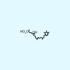 CC1=CC=C(CCC(C)CC/C=C(\C)CCCC(C)(O)CCCC(C)C(=O)O)C(C)C1C